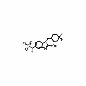 CCS(=O)(=O)NC1=CCC2C(=C1)N=C(C(C)(C)C)N2CC1CCC(F)(F)CC1